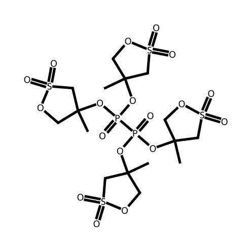 CC1(OP(=O)(OC2(C)COS(=O)(=O)C2)P(=O)(OC2(C)COS(=O)(=O)C2)OC2(C)COS(=O)(=O)C2)COS(=O)(=O)C1